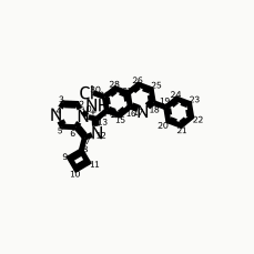 N[N+]12C=CN=CC1=C(C1=CC=C1)N=C2c1cc2nc(-c3ccccc3)ccc2cc1Cl